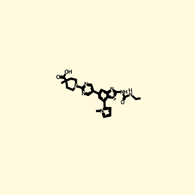 CCNC(=O)Nc1nc2cc(-c3cnc(N4CCC(C)(C(=O)O)CC4)nc3)cc(-c3cccn3C)c2s1